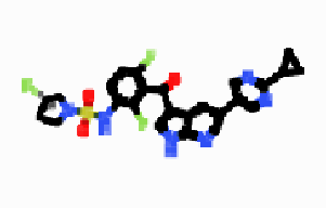 O=C(c1c(F)ccc(NS(=O)(=O)N2CC[C@H](F)C2)c1F)c1c[nH]c2ncc(-c3cnc(C4CC4)nc3)cc12